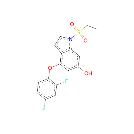 CCS(=O)(=O)n1ccc2c(Oc3ccc(F)cc3F)cc(O)cc21